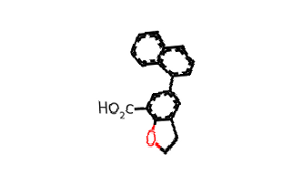 O=C(O)c1cc(-c2cccc3ccccc23)cc2c1OCC2